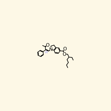 CCCCC(CC)COC(=O)c1ccc2c(c1)CCN2/C=C(\C(C)=O)c1ccccc1